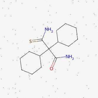 NC(=O)C(C(N)=S)(C1CCCCC1)C1CCCCC1